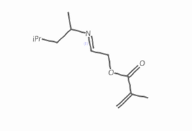 C=C(C)C(=O)OC/C=N/C(C)CC(C)C